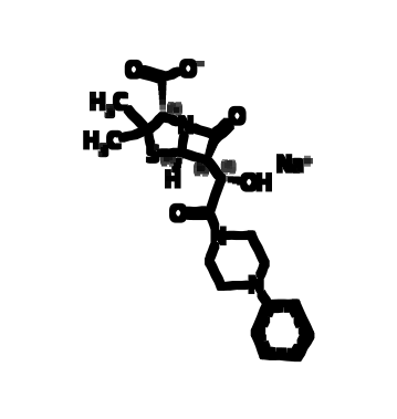 CC1(C)S[C@@H]2[C@H]([C@H](O)C(=O)N3CCN(c4ccccc4)CC3)C(=O)N2[C@H]1C(=O)[O-].[Na+]